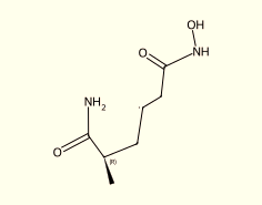 C[C@H](C[CH]CC(=O)NO)C(N)=O